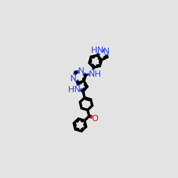 O=C(c1ccccc1)C1CC=C(c2cc3c(Nc4ccc5[nH]ncc5c4)ncnc3[nH]2)CC1